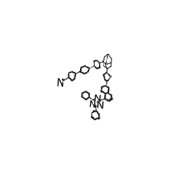 N#Cc1ccc(-c2ccc(-c3ccc(C45CC6CC(C4)CC(c4ccc(-c7ccc8c(-c9nc(-c%10ccccc%10)nc(-c%10ccccc%10)n9)cccc8c7)cc4)(C6)C5)cc3)cc2)cc1